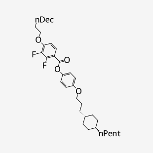 CCCCCCCCCCCCOc1ccc(C(=O)Oc2ccc(OCCC[C@H]3CC[C@H](CCCCC)CC3)cc2)c(F)c1F